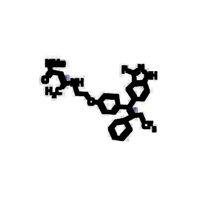 CNC(=O)/C=C(\C)NCCOc1ccc(/C(=C(/CC(F)(F)F)c2ccccc2)c2ccc3[nH]nc(F)c3c2)cc1